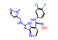 Cn1nccc1CNc1nc2nccc(/C(=N\O)Nc3ccc(F)c(Cl)c3)c2[nH]1